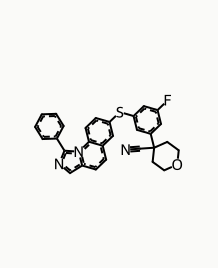 N#CC1(c2cc(F)cc(Sc3ccc4c(ccc5cnc(-c6ccccc6)n54)c3)c2)CCOCC1